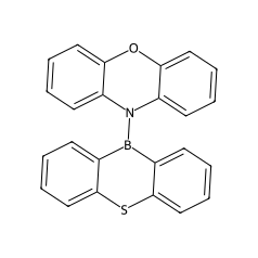 c1ccc2c(c1)Oc1ccccc1N2B1c2ccccc2Sc2ccccc21